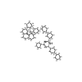 c1ccc(C2=NC(c3ccc(-c4ccccc4)cc3)NC(c3cccc(-c4cccc(-c5ccc6c(c5)-c5ccccc5C65c6cccc7ccc8cccc5c8c67)c4)c3)=N2)cc1